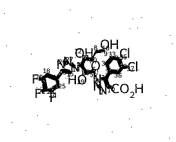 O=C(O)c1nnn([C@@H]2O[C@H](CCO)[C@H](O)[C@H](n3cc(-c4cc(F)c(F)c(F)c4)nn3)[C@H]2O)c1-c1ccc(Cl)c(Cl)c1